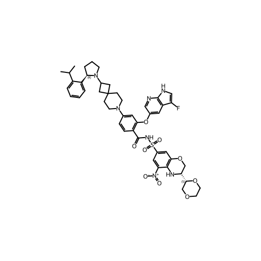 CC(C)c1ccccc1[C@H]1CCCN1C1CC2(CCN(c3ccc(C(=O)NS(=O)(=O)c4cc5c(c([N+](=O)[O-])c4)NC([C@H]4COCCO4)CO5)c(Oc4cnc5[nH]cc(F)c5c4)c3)CC2)C1